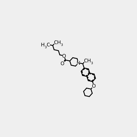 CC(C)CCCOC(=O)C1CCN(C(C)c2ccc3cc(OC4CCCCC4)ccc3c2)CC1